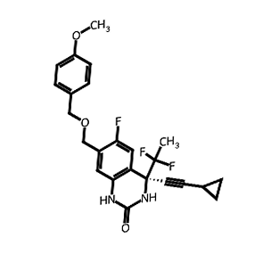 COc1ccc(COCc2cc3c(cc2F)[C@@](C#CC2CC2)(C(C)(F)F)NC(=O)N3)cc1